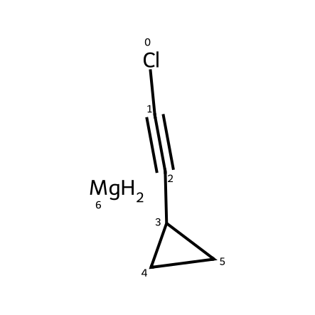 ClC#CC1CC1.[MgH2]